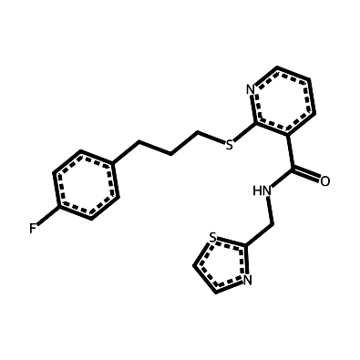 O=C(NCc1nccs1)c1cccnc1SCCCc1ccc(F)cc1